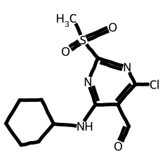 CS(=O)(=O)c1nc(Cl)c(C=O)c(NC2CCCCC2)n1